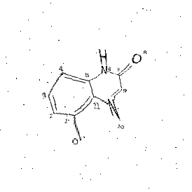 Cc1cccc2[nH]c(=O)cnc12